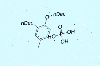 CCCCCCCCCCOc1ccc(C)cc1CCCCCCCCCC.O=P(O)(O)O